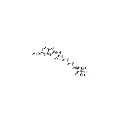 COc1ccc2sc(NC(=O)CCCCCCNC(=O)C(O)(O)C(F)(F)F)nc2c1